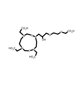 O=C(O)COCCOCC(O)CN1CCN(CC(=O)O)CCN(CC(=O)O)CCN(CC(=O)O)CC1